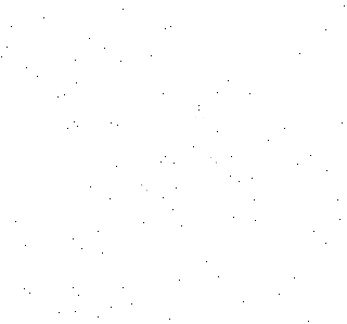 Cn1c(=O)c(C(=O)NC2CCCCC2)c(O)c2cc(F)ccc21